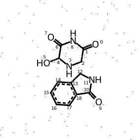 O=C1CNC(O)C(=O)N1.O=C1NCc2ccccc21